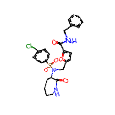 O=C(NCc1ccccc1)c1ccc(CN([C@@H]2CCCCNC2=O)S(=O)(=O)c2ccc(Cl)cc2)o1